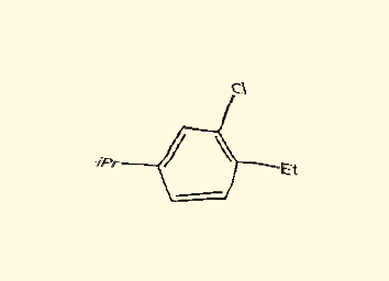 CCc1ccc([C](C)C)cc1Cl